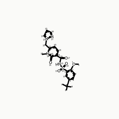 COc1ccc(C(C)(C)C)cc1S(=O)(=O)NC(=O)c1ccc(Cn2cccn2)n(C)c1=O